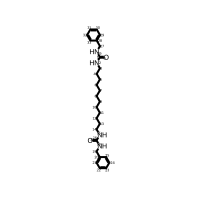 O=C(NCCCCCCCCCCCCNC(=O)NCc1ccccc1)NCc1ccccc1